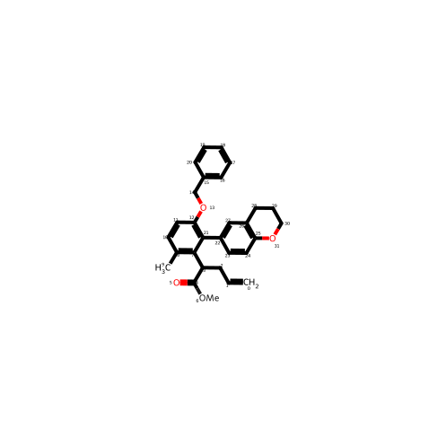 C=CCC(C(=O)OC)c1c(C)ccc(OCc2ccccc2)c1-c1ccc2c(c1)CCCO2